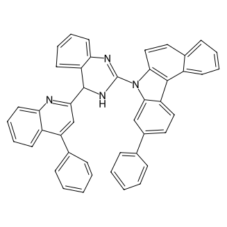 c1ccc(-c2ccc3c4c5ccccc5ccc4n(C4=Nc5ccccc5C(c5cc(-c6ccccc6)c6ccccc6n5)N4)c3c2)cc1